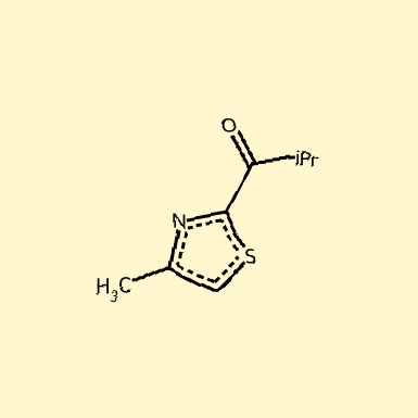 Cc1csc(C(=O)C(C)C)n1